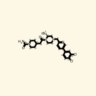 CC(C)(C)[C@H]1CN(Cc2ccc(-c3ccc(Cl)c(Cl)c3)cn2)CCN1C(=O)CC1CCN(C(N)=O)CC1